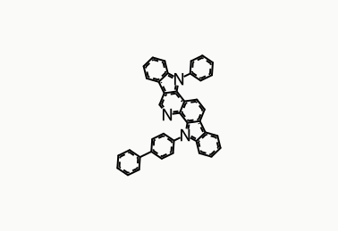 c1ccc(-c2ccc(-n3c4ccccc4c4ccc5c(ncc6c7ccccc7n(-c7ccccc7)c65)c43)cc2)cc1